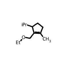 CCOCC1=C(C)CCC1C(C)C